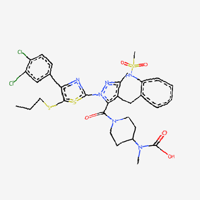 CCCSc1sc(-n2nc(C)c(Cc3ccccc3NS(C)(=O)=O)c2C(=O)N2CCC(N(C)C(=O)O)CC2)nc1-c1ccc(Cl)c(Cl)c1